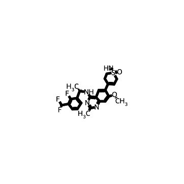 COc1cc2nc(C)nc(N[C@H](C)c3cccc(C(F)F)c3F)c2cc1C1=CCS(=N)(=O)CC1